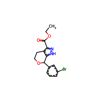 CCOC(=O)c1n[nH]c2c1CCOC2c1cccc(Br)c1